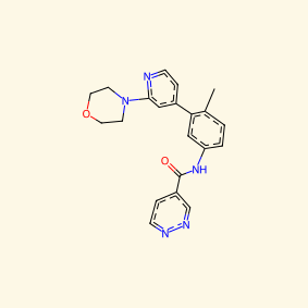 Cc1ccc(NC(=O)c2ccnnc2)cc1-c1ccnc(N2CCOCC2)c1